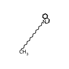 CCCCCCCCCCCCCCCCN1CC=Cc2ccccc21